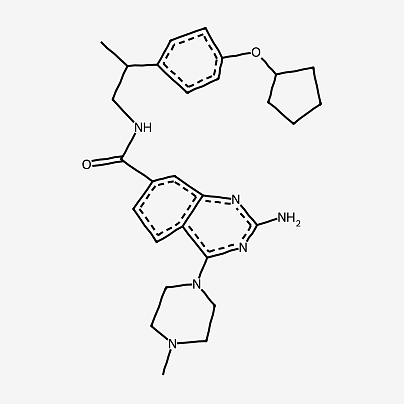 CC(CNC(=O)c1ccc2c(N3CCN(C)CC3)nc(N)nc2c1)c1ccc(OC2CCCC2)cc1